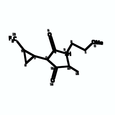 COCC[SH]1C(=O)C(C2CC2C(F)(F)F)C(=O)C1C